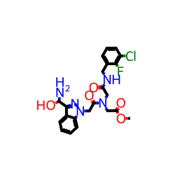 COC(=O)CN(CC(=O)NCc1cccc(Cl)c1F)C(=O)Cn1nc(C(N)O)c2ccccc21